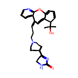 CC(C)(O)C1C=CC=C2Oc3ncccc3C(=CCCN3CCC(C4=NC(=O)NC4)CC3)C=C21